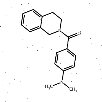 CN(C)c1ccc(C(=O)N2CCc3ccccc3C2)cc1